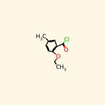 CCOc1ccc(C)cc1C(=O)Cl